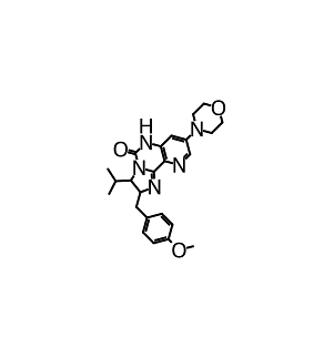 COc1ccc(CC2N=C3c4ncc(N5CCOCC5)cc4NC(=O)N3C2C(C)C)cc1